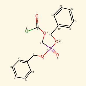 O=C(Cl)OCP(=O)(OCc1ccccc1)OCc1ccccc1